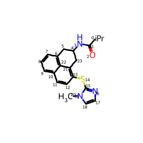 CC(C)C(=O)NC1Cc2cccc3ccc(Sc4nccn4C)c(c23)C1